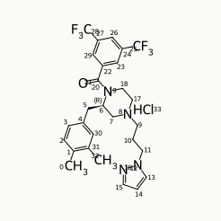 Cc1ccc(C[C@@H]2CN(CCCn3cccn3)CCN2C(=O)c2cc(C(F)(F)F)cc(C(F)(F)F)c2)cc1C.Cl